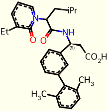 CCc1cccn(C(CC(C)C)C(=O)N[C@@H](CC(=O)O)c2cccc(-c3c(C)cccc3C)c2)c1=O